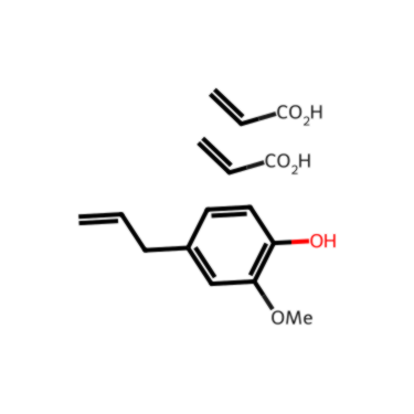 C=CC(=O)O.C=CC(=O)O.C=CCc1ccc(O)c(OC)c1